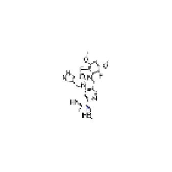 CB/C=C(\C(C)=N)c1cc2c(cn1)CN(c1c(F)c(OC)cc(OC)c1F)C(=O)N2Cc1cnn(C)c1